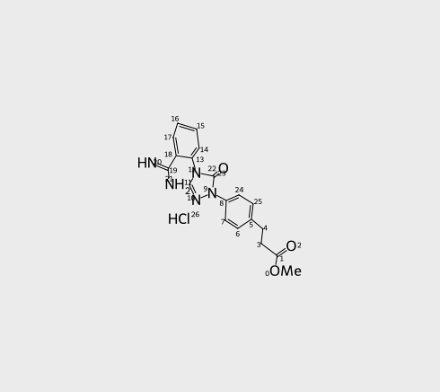 COC(=O)CCc1ccc(-n2ncn(-c3ccccc3C(=N)N)c2=O)cc1.Cl